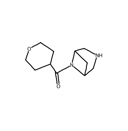 O=C(C1CCOCC1)N1C2CNCC1C2